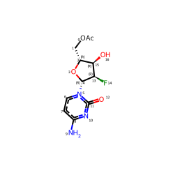 CC(=O)OC[C@H]1O[C@@H](n2ccc(N)nc2=O)[C@H](F)[C@@H]1O